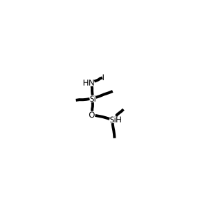 C[SiH](C)O[Si](C)(C)NI